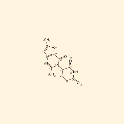 Cc1cc2nc(C)n(C3CCC(=O)NC3=O)c(=O)c2s1